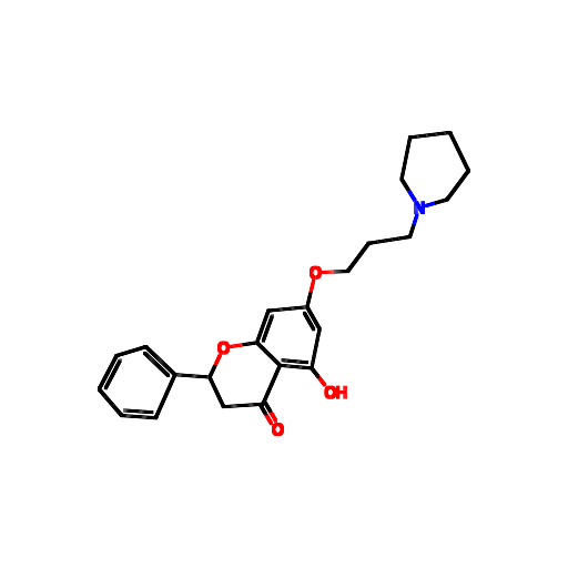 O=C1CC(c2ccccc2)Oc2cc(OCCCN3CCCCC3)cc(O)c21